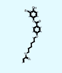 C=CC(=O)OCCCCCCOc1ccc(C(=O)Oc2ccc(O)c(CC)c2)cc1